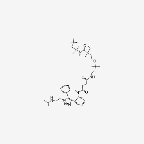 CCC(C)(CCOC(C)(C)CCNC(=O)CCC(=O)N1Cc2ccccc2-c2c(nnn2CCNC(C)C)-c2ccccc21)C(=O)NC(C)(C)CC(C)(C)C